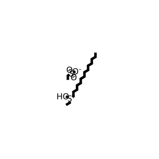 CCCCCCCCCCCCCC[S+](O)CC.CCS(=O)(=O)[O-]